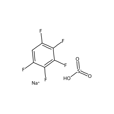 Fc1cc(F)c(F)c(F)c1F.O=[S-](=O)O.[Na+]